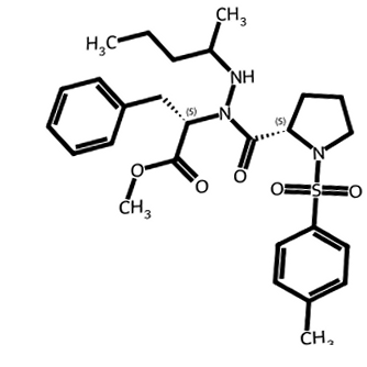 CCCC(C)NN(C(=O)[C@@H]1CCCN1S(=O)(=O)c1ccc(C)cc1)[C@@H](Cc1ccccc1)C(=O)OC